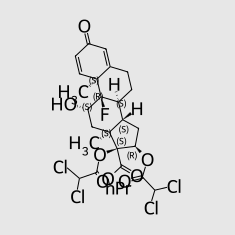 CCCOC(=O)[C@@]1(OC(=O)C(Cl)Cl)[C@H](OC(=O)C(Cl)Cl)C[C@H]2[C@@H]3CCC4=CC(=O)C=C[C@]4(C)[C@@]3(F)[C@@H](O)C[C@@]21C